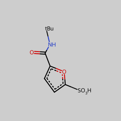 CC(C)(C)NC(=O)c1ccc(S(=O)(=O)O)o1